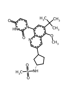 COc1c(C(C)(C)C)cc(-n2ccc(=O)[nH]c2=O)c2ncc(C3CC[C@H](NS(C)(=O)=O)C3)cc12